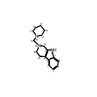 c1ccc2c3c([nH]c2c1)CN(CN1CCCCC1)CC3